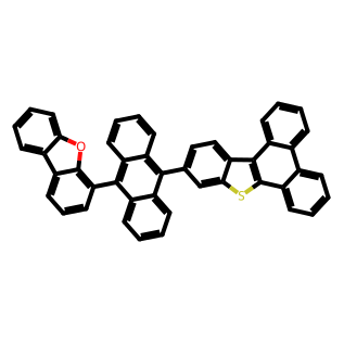 c1ccc2c(c1)oc1c(-c3c4ccccc4c(-c4ccc5c(c4)sc4c6ccccc6c6ccccc6c54)c4ccccc34)cccc12